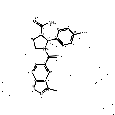 Cc1n[nH]c2ncc(C(=O)N3CC[C@@H](C(N)=O)[C@H]3c3ccc(F)cc3)cc12